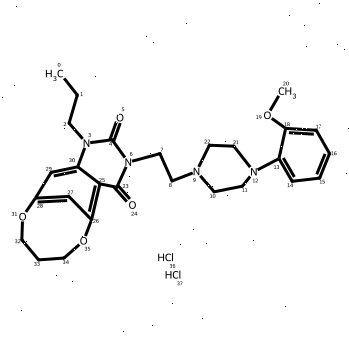 CCCn1c(=O)n(CCN2CCN(c3ccccc3OC)CC2)c(=O)c2c3cc(cc21)OCCCO3.Cl.Cl